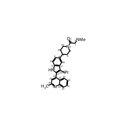 CNCC(=O)N1CCC(c2ccc3[nH]c(-c4cc(C)nc5ccccc45)c(C(C)C)c3c2)CC1